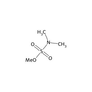 [CH2]OS(=O)(=O)N(C)C